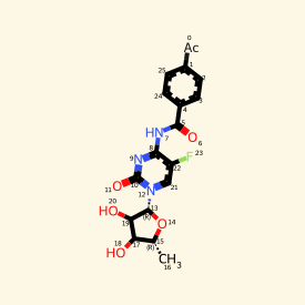 CC(=O)c1ccc(C(=O)Nc2nc(=O)n([C@@H]3O[C@H](C)C(O)C3O)cc2F)cc1